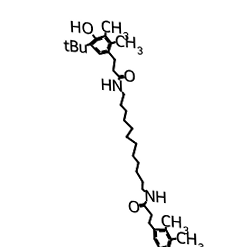 Cc1c(CCC(=O)NCCCCCCCCCCCCNC(=O)CCc2cc(C(C)(C)C)c(O)c(C)c2C)cc(C(C)(C)C)c(O)c1C